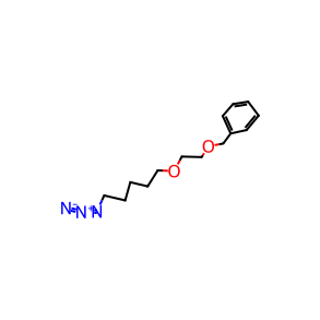 [N-]=[N+]=NCCCCCOCCOCc1ccccc1